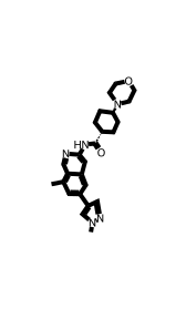 Cc1cc(-c2cnn(C)c2)cc2cc(NC(=O)[C@H]3CC[C@H](N4CCOCC4)CC3)ncc12